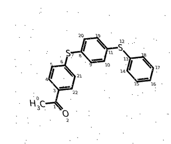 CC(=O)c1ccc(Sc2ccc(Sc3ccccc3)cc2)cc1